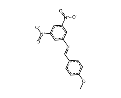 COc1ccc(C=Nc2cc([N+](=O)[O-])cc([N+](=O)[O-])c2)cc1